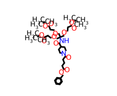 CC(C)(C)OC(=O)CCOCC(COCCC(=O)OC(C)(C)C)(COCCC(=O)OC(C)(C)C)NC(=O)C1CCN(C(=O)CCCC(=O)OCc2ccccc2)CC1